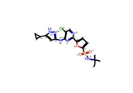 CC(C)(C)NS(=O)(=O)c1ccc(-c2ncc(Cl)c(Nc3cc(C4CC4)[nH]n3)n2)o1